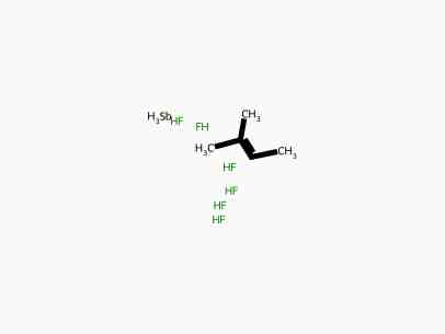 CC=C(C)C.F.F.F.F.F.F.[SbH3]